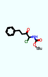 CC(C)(C)OC(=O)NC(Cl)C(=O)CCc1ccccc1